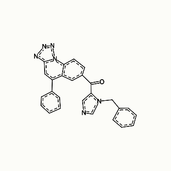 O=C(c1ccc2c(c1)c(-c1ccccc1)cc1nnnn12)c1cncn1Cc1ccccc1